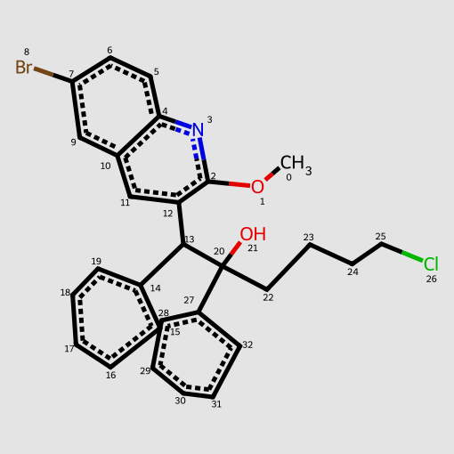 COc1nc2ccc(Br)cc2cc1C(c1ccccc1)C(O)(CCCCCl)c1ccccc1